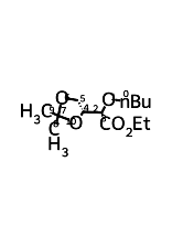 CCCCO[C@H](C(=O)OCC)[C@H]1COC(C)(C)O1